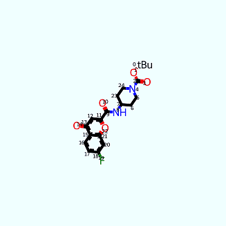 CC(C)(C)OC(=O)N1CCC(NC(=O)c2cc(=O)c3ccc(F)cc3o2)CC1